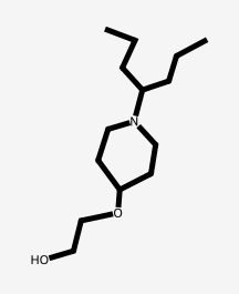 CCCC(CCC)N1CCC(OCCO)CC1